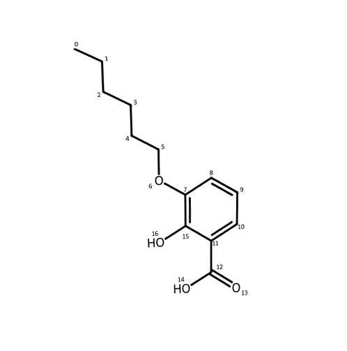 CCCCCCOc1cccc(C(=O)O)c1O